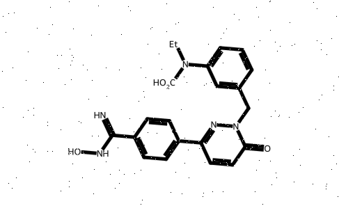 CCN(C(=O)O)c1cccc(Cn2nc(-c3ccc(C(=N)NO)cc3)ccc2=O)c1